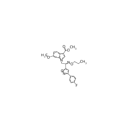 CCCON=C(Cn1cc(C(=O)OC)c2ccc(OC)cc21)c1cc(-c2ccc(F)cc2)no1